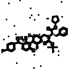 CC(C)(C)OC(=O)N(Cc1cc(F)c(-n2c(N)c(C(=O)c3ccc(F)cc3)ccc2=O)c(F)c1)[C@@H](Cc1ccccc1)C(=O)OC1CCCC1